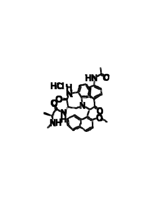 CN[C@@H](C)C(=O)N[C@H]1CN(C(C(=O)c2ccc(NC(C)=O)cc2)c2c(OC)ccc3ccccc23)c2ccccc2NC1=O.Cl